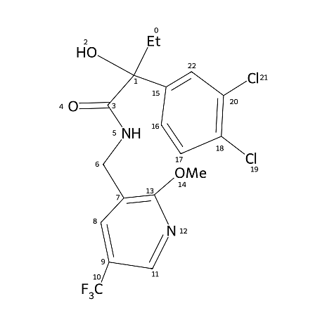 CCC(O)(C(=O)NCc1cc(C(F)(F)F)cnc1OC)c1ccc(Cl)c(Cl)c1